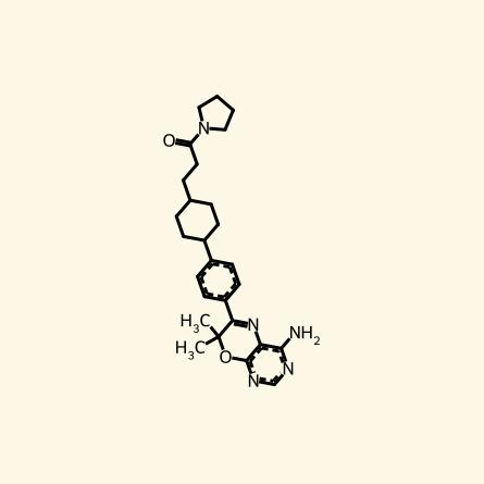 CC1(C)Oc2ncnc(N)c2N=C1c1ccc(C2CCC(CCC(=O)N3CCCC3)CC2)cc1